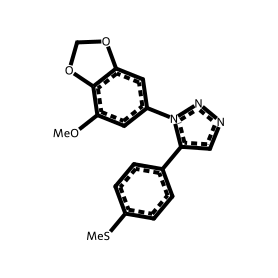 COc1cc(-n2nncc2-c2ccc(SC)cc2)cc2c1OCO2